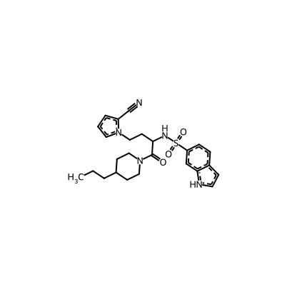 CCCC1CCN(C(=O)C(CCn2cccc2C#N)NS(=O)(=O)c2ccc3cc[nH]c3c2)CC1